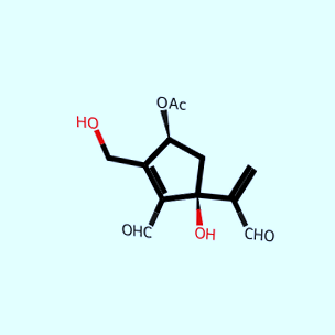 C=C(C=O)[C@@]1(O)C[C@H](OC(C)=O)C(CO)=C1C=O